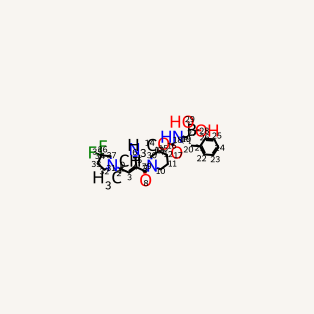 CC(C)(C=C(C#N)C(=O)N1CCC[C@](C)(OC(=O)N[C@@H](Cc2ccccc2)B(O)O)C1)N1CCC(F)(F)C1